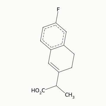 CC(C(=O)O)C1=Cc2ccc(F)cc2CC1